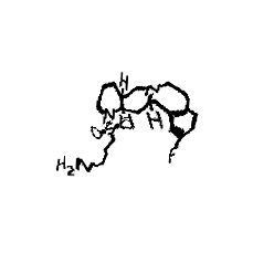 NCCCS(=O)(=O)N1CCC[C@@H]2CN3CCc4ccc(F)cc4[C@@H]3C[C@@H]21